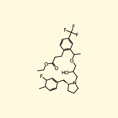 CCOC(=O)CCc1ccc(C(F)(F)F)cc1C(C)OCC(O)CN1CCC[C@H]1CC1=CC(F)C(C)C=C1